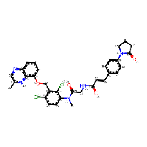 Cc1cnc2cccc(OCc3c(Cl)ccc(N(C)C(=O)CNC(=O)/C=C/c4ccc(N5CCCC5=O)cc4)c3Cl)c2n1